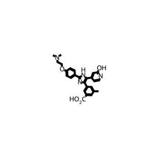 Cc1cc(C(=O)O)cc(-c2nc(-c3ccc(OCCN(C)C)cc3)[nH]c2-c2ccnc(O)c2)c1